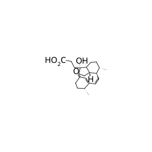 C[C@@H]1CCC(=O)C=C1/C=C\[C@@H]1[C@@H](C)CC[C@@]2(C)[C@H]1CC[C@@]2(O)CCC(=O)O